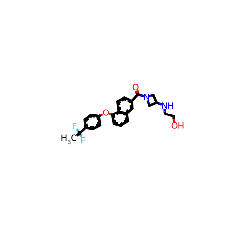 CC(F)(F)c1ccc(Oc2cccc3cc(C(=O)N4CC(NCCO)C4)ccc23)cc1